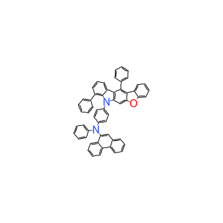 c1ccc(-c2c3c(cc4c2c2cccc(-c5ccccc5)c2n4-c2ccc(N(c4ccccc4)c4cc5ccccc5c5ccccc45)cc2)oc2ccccc23)cc1